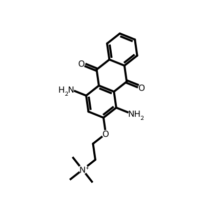 C[N+](C)(C)CCOc1cc(N)c2c(c1N)C(=O)c1ccccc1C2=O